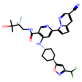 CC(C)(O)[C@H](F)CNC(=O)c1cnc(-c2ccc3cc(C#N)cnn23)cc1N[C@H]1CC[C@H](c2cc(C(F)F)no2)CC1